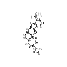 CNc1nccc2c1CN(Cc1ccc3c(c1)CCN(C1CCC1)CC3)C2=O